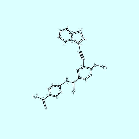 COc1nnc(C(=O)Nc2ccc(C(N)=O)cc2)cc1C#Cc1nnc2cccnn12